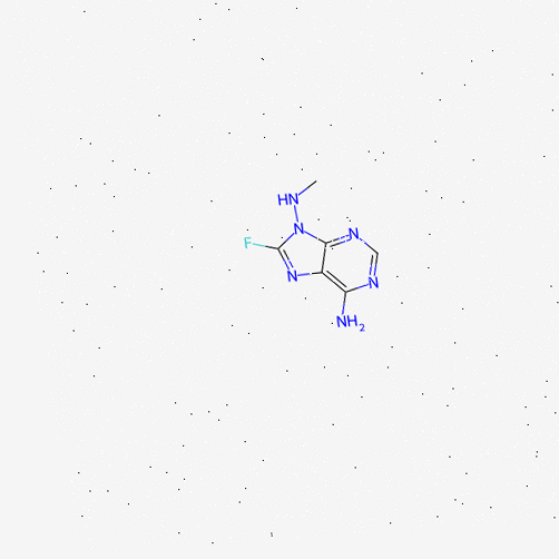 CNn1c(F)nc2c(N)ncnc21